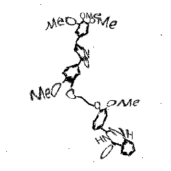 COc1cc(C2NC(=O)c3ccccc3N2)ccc1OCCOc1cc(-c2cc(-c3cc(OC)c(OC)c(OC)c3)no2)ccc1OC